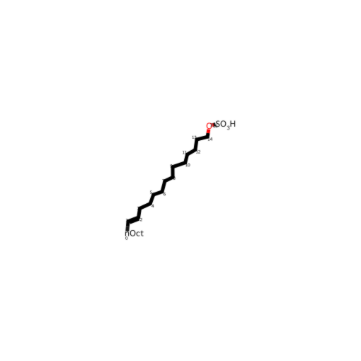 CCCCCCCCC=CCCCCCCCCCCCCOS(=O)(=O)O